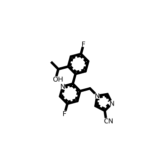 CC(O)c1cc(F)ccc1-c1ncc(F)cc1Cn1cnc(C#N)c1